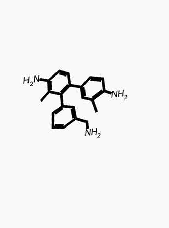 Cc1cc(-c2ccc(N)c(C)c2-c2cccc(CN)c2)ccc1N